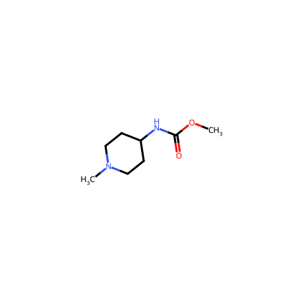 COC(=O)NC1CCN(C)CC1